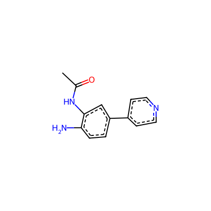 CC(=O)Nc1cc(-c2ccncc2)ccc1N